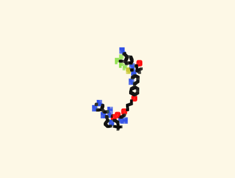 CC(C)(C)C(NC(=O)COCCCCOc1ccc(-c2ccc(N3C(=S)N(c4ccc(C#N)c(C(F)(F)F)c4F)C(=O)C3(C)C)cn2)cc1)C(=O)N1CCC[C@H]1c1nc(-c2cncnc2)c[nH]1